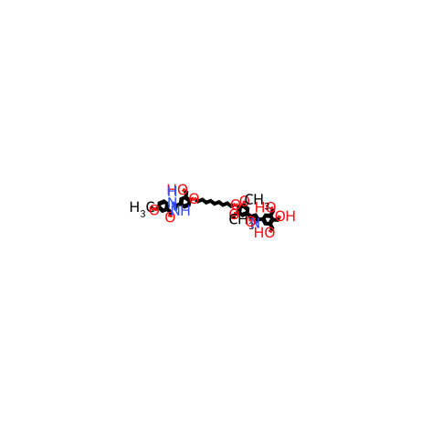 COc1ccc2c(c1)C(=O)NC(c1ccc(OCCCCCCCCCOc3c(OC)cc(-c4cc(-c5cc(CO)c(CO)c(CO)c5)no4)cc3OC)c(CO)c1)N2